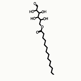 CCCCCCCCCCCCCC(=O)OCC(O)C(O)C(O)C(O)C=O